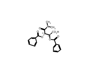 CN(C)C(=O)[C@@H](OC(=O)c1ccccc1)[C@H](OC(=O)c1ccccc1)C(=O)O